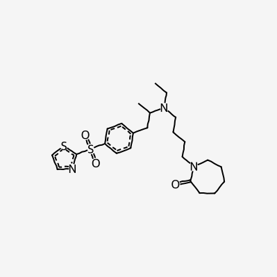 CCN(CCCCN1CCCCCC1=O)C(C)Cc1ccc(S(=O)(=O)c2nccs2)cc1